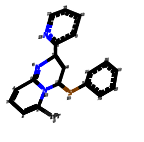 CCCC1=CC=CC2=NC(c3ccccn3)CC(Sc3ccccc3)N12